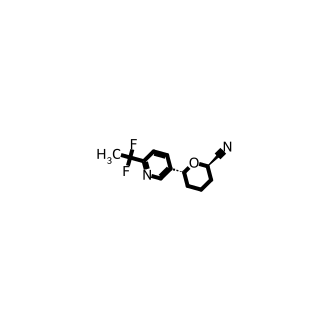 CC(F)(F)c1ccc([C@H]2CCC[C@H](C#N)O2)cn1